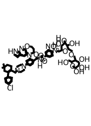 CC1(C)CCC(CN2CCN(c3ccc(C(=O)NS(=O)(=O)c4ccc(NCC5OC(COCC6C(CO)OC(O)C(O)C6O)C(O)C(O)C5O)c([N+](=O)[O-])c4)c(N4CCCOc5nc6[nH]ccc6cc54)c3)CC2)=C(c2ccc(Cl)cc2)C1